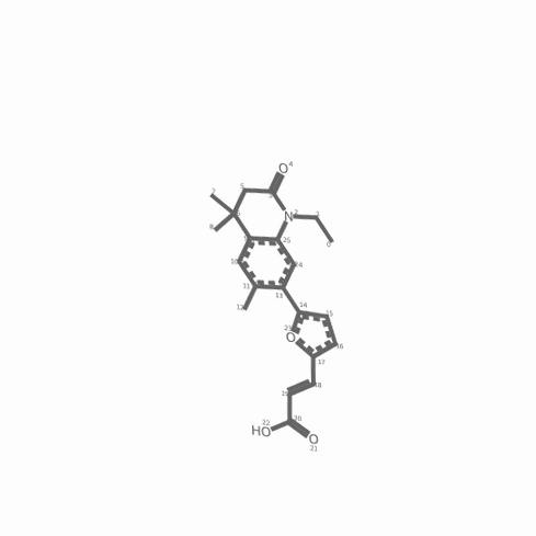 CCN1C(=O)CC(C)(C)c2cc(C)c(-c3ccc(C=CC(=O)O)o3)cc21